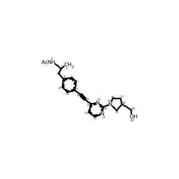 CC(=O)NC(C)Cc1ccc(C#Cc2ccnc(N3CCC(CO)C3)n2)cc1